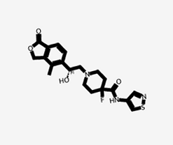 Cc1c([C@@H](O)CN2CCC(F)(C(=O)Nc3cnsc3)CC2)ccc2c1COC2=O